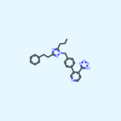 CCCc1nc(CCc2ccccc2)nn1Cc1ccc(-c2cnccc2-c2nnn[nH]2)cc1